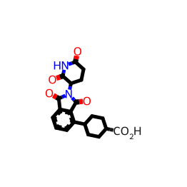 O=C1CCC(N2C(=O)c3cccc(C4CCC(C(=O)O)CC4)c3C2=O)C(=O)N1